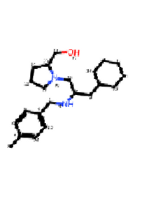 Cc1ccc(CNC(CC2CCCCC2)CN2CCCC2CO)cc1